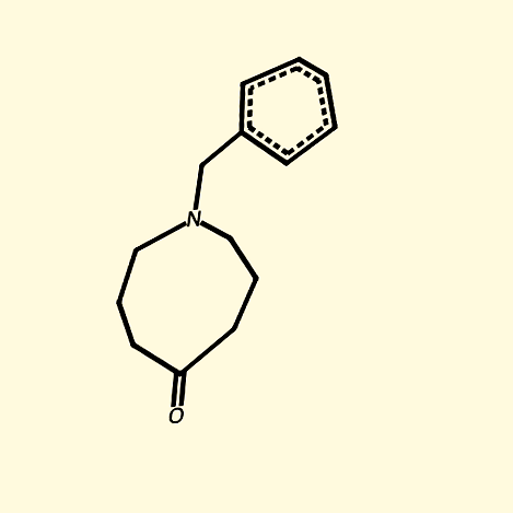 O=C1CCCN(Cc2ccccc2)CCC1